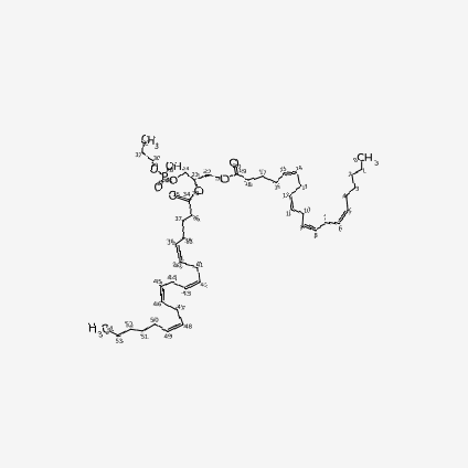 CCCCC/C=C\C/C=C\C/C=C\C/C=C\CCCC(=O)OC[C@H](COP(=O)(O)OCCC)OC(=O)CCC/C=C\C/C=C\C/C=C\C/C=C\CCCCC